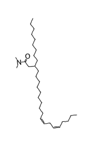 CCCC/C=C\C/C=C\CCCCCCCCCC(CCCCCCCCC)CC(=O)N(C)C